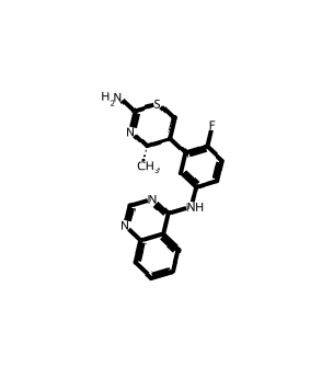 C[C@@H]1N=C(N)SCC1c1cc(Nc2ncnc3ccccc23)ccc1F